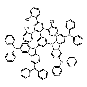 N#Cc1ccccc1-c1cc(-c2ccccc2C#N)c(-c2cc(-n3c4ccc(N(c5ccccc5)c5ccccc5)cc4c4cc(N(c5ccccc5)c5ccccc5)ccc43)cc(-n3c4ccc(N(c5ccccc5)c5ccccc5)cc4c4cc(N(c5ccccc5)c5ccccc5)ccc43)c2)c(-c2ccccc2C#N)c1